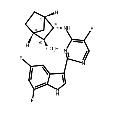 O=C(O)[C@H]1[C@@H]2CC[C@@H](C2)[C@@H]1Nc1nc(-c2c[nH]c3c(F)cc(F)cc23)ncc1F